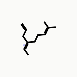 C=CC/C(=C/C)CCC=C(C)C